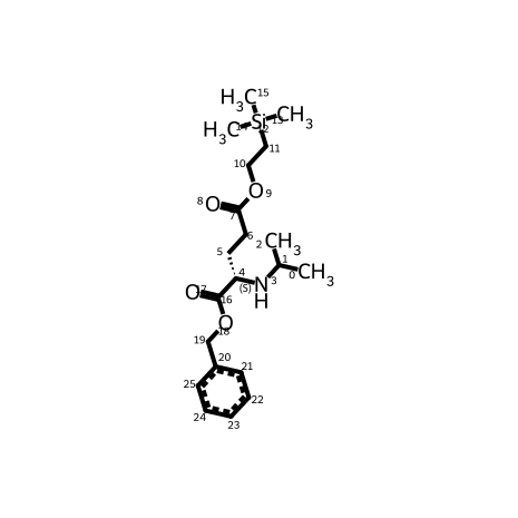 CC(C)N[C@@H](CCC(=O)OCC[Si](C)(C)C)C(=O)OCc1ccccc1